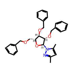 Cc1cc(C)n([C@H]2O[C@H](COCc3ccccc3)[C@@H](OCc3ccccc3)[C@@H]2OCc2ccccc2)n1